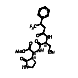 COC(=O)[C@@H](NC(=O)[C@H](CC(C)(C)C)NC(=O)CC(c1ccccc1)C(F)(F)F)[C@@H]1CCNC1=O